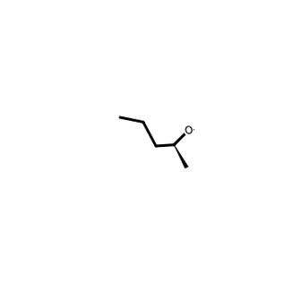 CCC[C@H](C)[O]